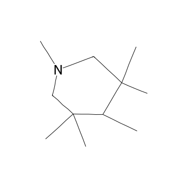 CC1C(C)(C)CN(C)CC1(C)C